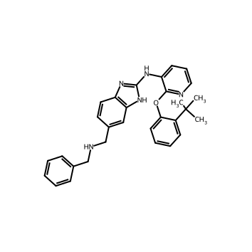 CC(C)(C)c1ccccc1Oc1ncccc1Nc1nc2ccc(CNCc3ccccc3)cc2[nH]1